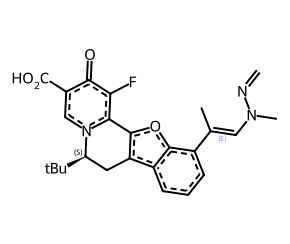 C=NN(C)/C=C(\C)c1cccc2c3c(oc12)-c1c(F)c(=O)c(C(=O)O)cn1[C@H](C(C)(C)C)C3